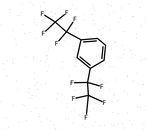 FC(F)(F)C(F)(F)c1[c]c(C(F)(F)C(F)(F)F)ccc1